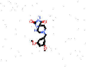 COc1cc(CN2CCC3(CC2)NC(=O)NC3=O)cc(OC)c1